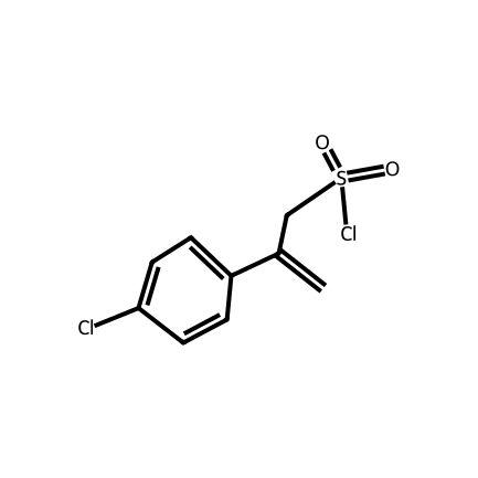 C=C(CS(=O)(=O)Cl)c1ccc(Cl)cc1